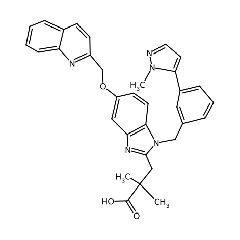 Cn1nccc1-c1cccc(Cn2c(CC(C)(C)C(=O)O)nc3cc(OCc4ccc5ccccc5n4)ccc32)c1